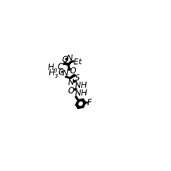 CCc1noc(C)c1C(=O)N(C)Cc1csc(NC(=O)NCc2cccc(F)c2)n1